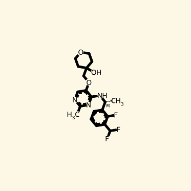 Cc1ncc(OCC2(O)CCOCC2)c(N[C@H](C)c2cccc(C(F)F)c2F)n1